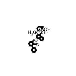 COc1cc(OCc2cccc(-c3ccccc3)c2C#N)c2c(c1CN1CCC[C@H]3C[C@]31C(=O)O)CCC2